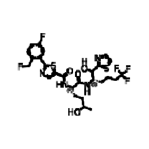 CC(O)CC[C@H](NC(=O)c1cnc(-c2cc(F)ccc2CF)s1)C(=O)N[C@@H](CCCC(F)(F)F)C(O)c1nccs1